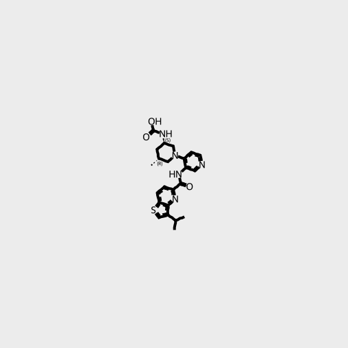 CC(C)c1csc2ccc(C(=O)Nc3cnccc3N3C[C@H](C)C[C@H](NC(=O)O)C3)nc12